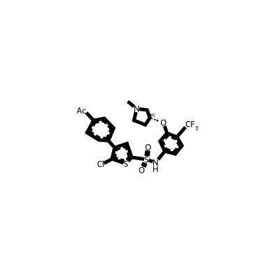 CC(=O)c1ccc(-c2cc(S(=O)(=O)Nc3ccc(C(F)(F)F)c(O[C@@H]4CCN(C)C4)c3)sc2Cl)cc1